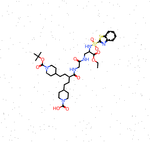 CCOC(=O)C(CNC(=O)CNC(=O)C(CCC1CCN(C(=O)O)CC1)CCC1CCN(C(=O)OC(C)(C)C)CC1)NS(=O)(=O)c1nc2ccccc2s1